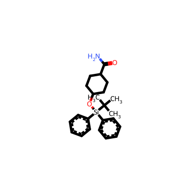 CC(C)(C)[Si](OC1CCC(C(N)=O)CC1)(c1ccccc1)c1ccccc1